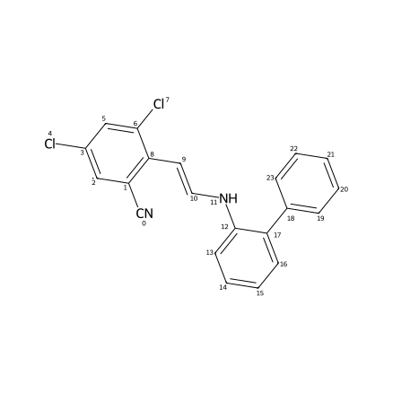 N#Cc1[c]c(Cl)cc(Cl)c1C=CNc1ccccc1-c1ccccc1